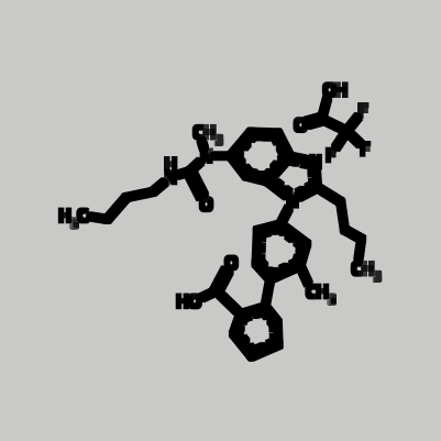 CCCCNC(=O)N(C)c1ccc2nc(CCCC)n(-c3ccc(-c4ccccc4C(=O)O)c(C)c3)c2c1.O=C(O)C(F)(F)F